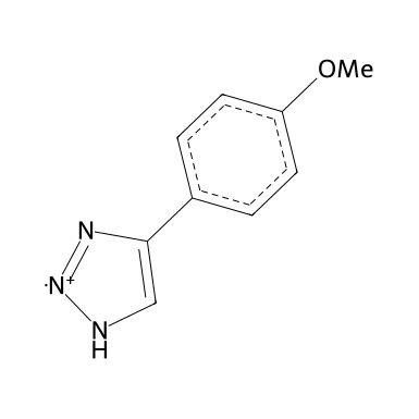 COc1ccc(C2=CN[N+]=N2)cc1